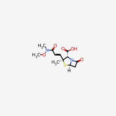 CON(C)C(=O)/C=C/[C@]1(C)S[C@@H]2CC(=O)N2[C@H]1C(=O)O